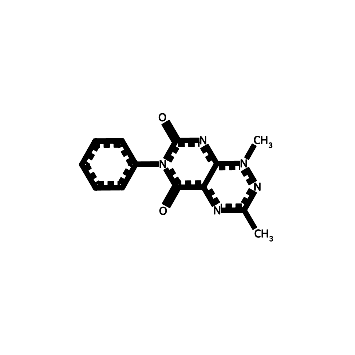 Cc1nc2c(=O)n(-c3ccccc3)c(=O)nc-2n(C)n1